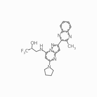 Cc1nc2ccccc2nc1-c1cc2nc(N3CCCC3)cc(NC[C@H](O)C(F)(F)F)n2n1